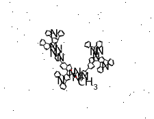 Cc1nc(-n2c3ccc4cc(-c5ccc6nc(-n7c8ccc9ccccc9c8c8c9c%10ccccc%10n%10c%11ccccc%11c(cc87)c9%10)ncc6n5)ccc4c3c3c4c5ccccc5n5c6ccccc6c(cc32)c45)nc2cc(-c3ccc4c(ccc5c4c4c6c7ccccc7n7c8ccccc8c(cc4n5-c4nc(-c5ccccc5)c5ccccc5n4)c67)c3)cnc12